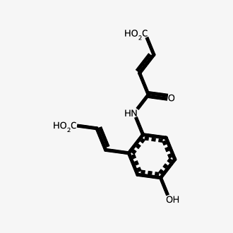 O=C(O)/C=C/C(=O)Nc1ccc(O)cc1/C=C/C(=O)O